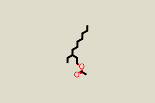 CCCCCCCC(CC)CCOC(C)=O